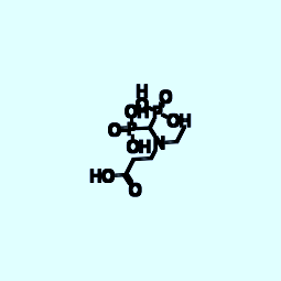 CCN(CCC(=O)O)C(P(=O)(O)O)P(=O)(O)O